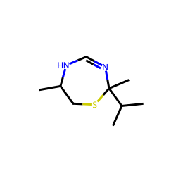 CC1CSC(C)(C(C)C)N=CN1